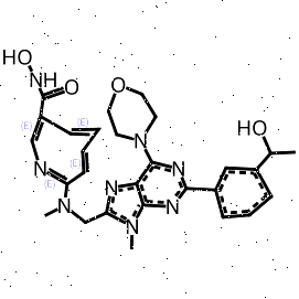 CC(O)c1cccc(-c2nc(N3CCOCC3)c3nc(CN(C)C4=N/C=C(C(=O)NO)\C=C\C=C\4)n(C)c3n2)c1